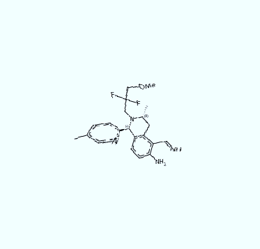 COCC(F)(F)CN1[C@H](c2ccc(C)cn2)c2ccc(N)c(C=N)c2C[C@H]1C